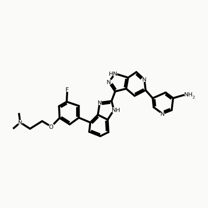 CN(C)CCOc1cc(F)cc(-c2cccc3[nH]c(-c4n[nH]c5cnc(-c6cncc(N)c6)cc45)nc23)c1